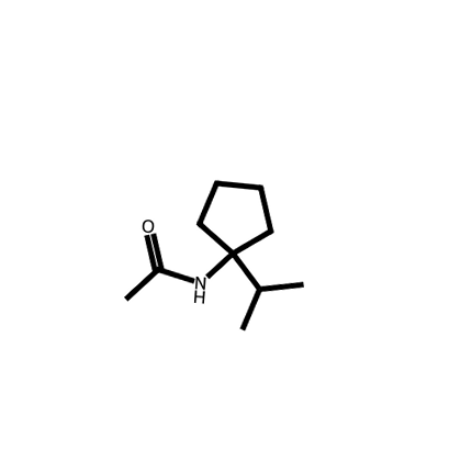 CC(=O)NC1(C(C)C)CCCC1